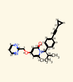 Cc1cc(OCc2ncccn2)cc(=O)n1[C@@H](c1ccc(C#CC2CC2)cc1)C(C)C